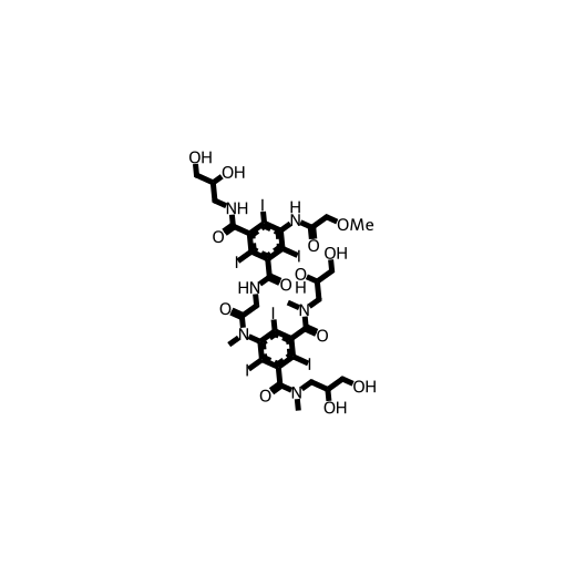 COCC(=O)Nc1c(I)c(C(=O)NCC(=O)N(C)c2c(I)c(C(=O)N(C)CC(O)CO)c(I)c(C(=O)N(C)CC(O)CO)c2I)c(I)c(C(=O)NCC(O)CO)c1I